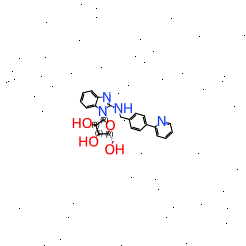 OC[C@H]1O[C@@H](n2c(NCc3ccc(-c4ccccn4)cc3)nc3ccccc32)[C@H](O)[C@@H]1O